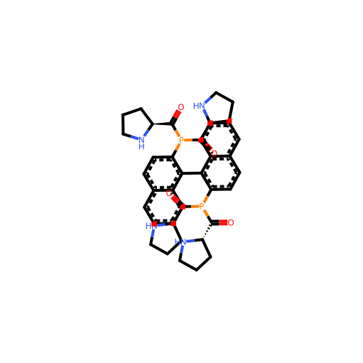 O=C([C@@H]1CCCN1)P(C(=O)[C@@H]1CCCN1)c1ccc2ccccc2c1-c1c(P(C(=O)[C@@H]2CCCN2)C(=O)[C@@H]2CCCN2)ccc2ccccc12